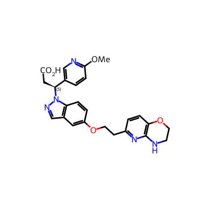 COc1ccc([C@H](CC(=O)O)n2ncc3cc(OCCc4ccc5c(n4)NCCO5)ccc32)cn1